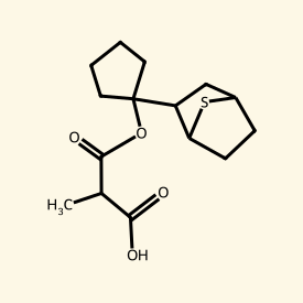 CC(C(=O)O)C(=O)OC1(C2CC3CCC2S3)CCCC1